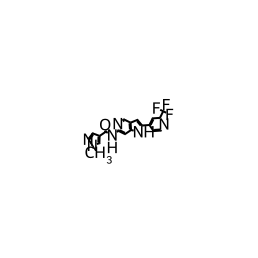 Cn1cc(C(=O)Nc2cc3[nH]c(-c4ccnc(C(F)(F)F)c4)cc3cn2)cn1